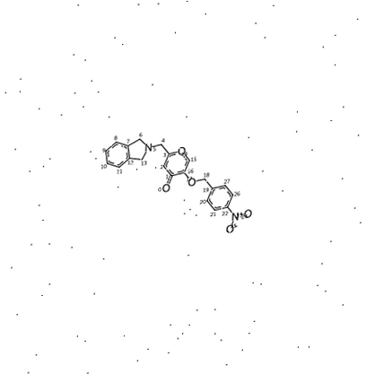 O=c1cc(CN2Cc3ccccc3C2)occ1OCc1ccc([N+](=O)[O-])cc1